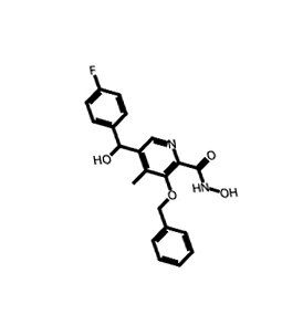 Cc1c(C(O)c2ccc(F)cc2)cnc(C(=O)NO)c1OCc1ccccc1